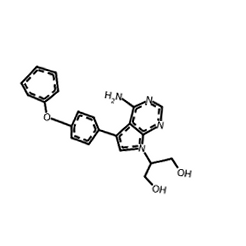 Nc1ncnc2c1c(-c1ccc(Oc3ccccc3)cc1)cn2C(CO)CO